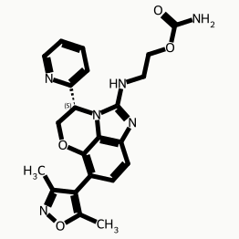 Cc1noc(C)c1-c1ccc2nc(NCCOC(N)=O)n3c2c1OC[C@@H]3c1ccccn1